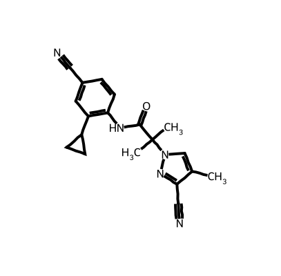 Cc1cn(C(C)(C)C(=O)Nc2ccc(C#N)cc2C2CC2)nc1C#N